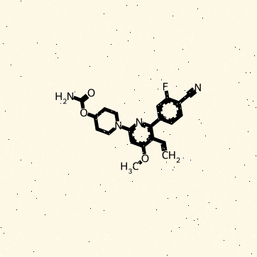 C=Cc1c(OC)cc(N2CCC(OC(N)=O)CC2)nc1-c1ccc(C#N)c(F)c1